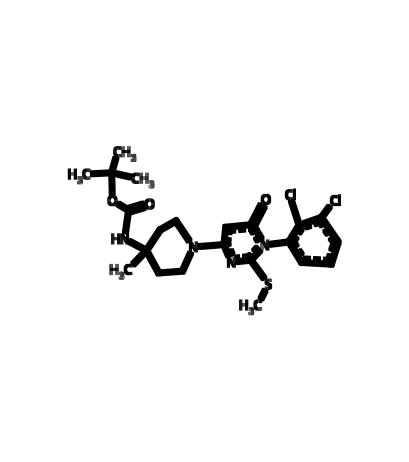 CSc1nc(N2CCC(C)(NC(=O)OC(C)(C)C)CC2)cc(=O)n1-c1cccc(Cl)c1Cl